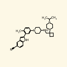 Cc1ccc(N2CCC(NCC3(N4CCN(C(C)C)CC4)CCC3)CC2)cc1-c1cc2cc(C#N)ccc2[nH]1